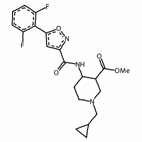 COC(=O)C1CN(CC2CC2)CCC1NC(=O)c1cc(-c2c(F)cccc2F)on1